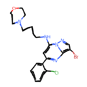 Clc1ccccc1-c1cc(NCCCN2CCOCC2)n2ncc(Br)c2n1